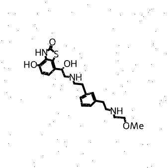 COCCNCCc1cccc(CCNC[C@H](O)c2ccc(O)c3[nH]c(=O)sc23)c1